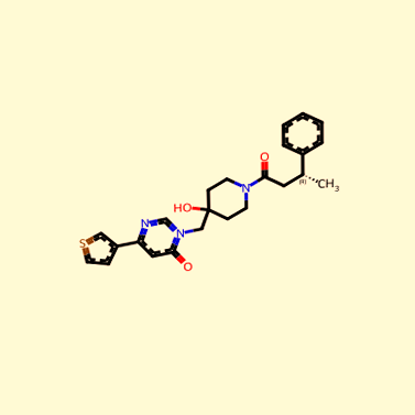 C[C@H](CC(=O)N1CCC(O)(Cn2cnc(-c3ccsc3)cc2=O)CC1)c1ccccc1